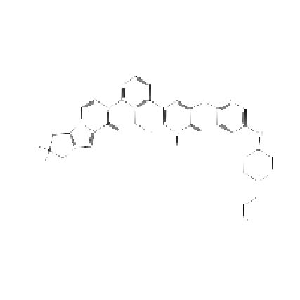 Cn1cc(-c2ccnc(-n3ccn4c5c(cc4c3=O)CC(C)(C)C5)c2CO)cc(Nc2ccc(N[C@@H]3CC[C@@H](CCO)OC3)cn2)c1=O